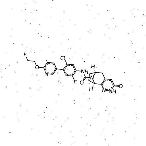 O=C(Nc1cc(Cl)c(-c2ccc(OCCF)nc2)cc1F)N1[C@H]2CC[C@@H]1c1n[nH]c(=O)cc1C2